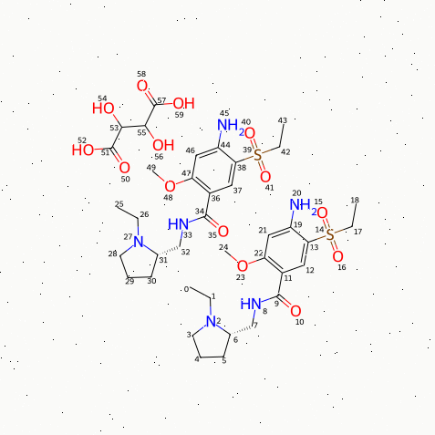 CCN1CCC[C@H]1CNC(=O)c1cc(S(=O)(=O)CC)c(N)cc1OC.CCN1CCC[C@H]1CNC(=O)c1cc(S(=O)(=O)CC)c(N)cc1OC.O=C(O)C(O)C(O)C(=O)O